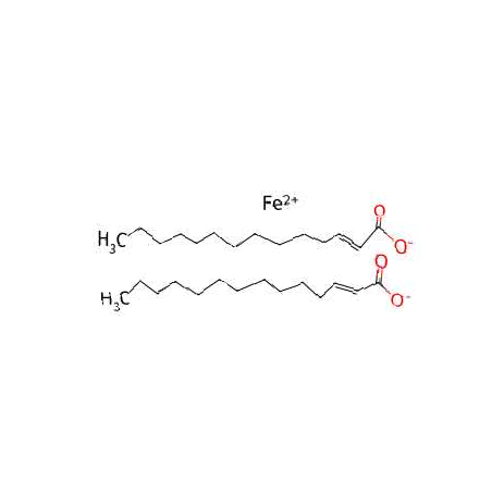 CCCCCCCCCCCC=CC(=O)[O-].CCCCCCCCCCCC=CC(=O)[O-].[Fe+2]